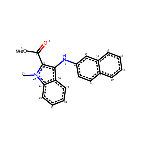 COC(=O)c1c(Nc2ccc3ccccc3c2)c2ccccc2n1C